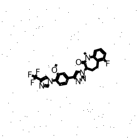 COc1cc(-c2cn(C3CCc4c(F)cccc4N(C)C3=O)nn2)ccc1-n1cnc(C(F)(F)F)c1